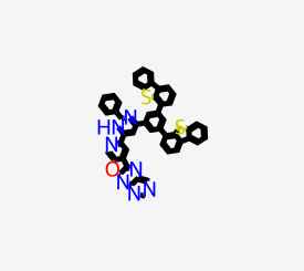 C1=C(c2cc3c(cn2)oc2nc4ncncc4nc23)NC(c2ccccc2)N=C1c1cc(-c2cccc3c2sc2ccccc23)cc(-c2cccc3c2sc2ccccc23)c1